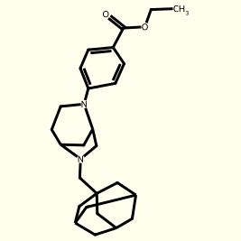 CCOC(=O)c1ccc(N2CCC3CC2CN3CC23CC4CC(CC(C4)C2)C3)cc1